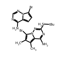 Cc1c(C)c2c(N)nc([SiH2]C(C)(C)C)nn2c1Br.Nc1ncnn2c(Br)ccc12